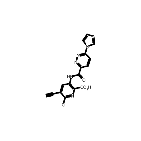 C#Cc1cc(NC(=O)c2ccc(-n3ccnc3)nn2)c(C(=O)O)nc1Cl